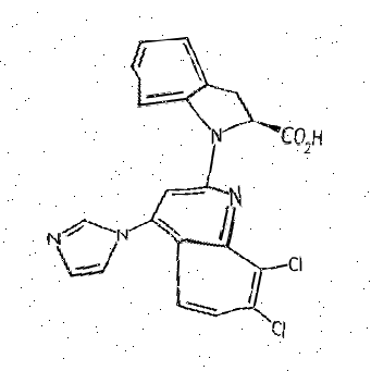 O=C(O)[C@@H]1Cc2ccccc2N1c1cc(-n2ccnc2)c2ccc(Cl)c(Cl)c2n1